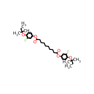 CCC(C)(C)Oc1ccc(OC(=O)CCCCCCCCC(=O)Oc2ccc(OC(C)(C)CC)c(F)c2)cc1F